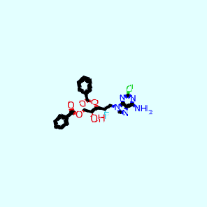 Nc1nc(Cl)nc2c1ncn2C[C@H](F)C(OC(=O)c1ccccc1)[C@H](O)COC(=O)c1ccccc1